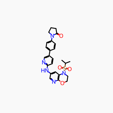 CC(C)S(=O)(=O)N1CCOc2ncc(Nc3ccc(-c4ccc(N5CCCC5=O)cc4)cn3)cc21